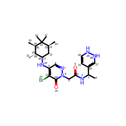 CC(NC(=O)Cn1ncc(N[C@@H]2C[C@H](C)C(C)(C)[C@H](C)[C@H]2C)c(Br)c1=O)C1=CNNC=C1